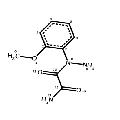 COc1ccccc1N(N)C(=O)C(N)=O